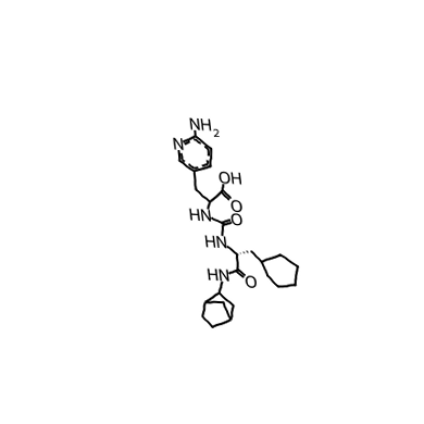 Nc1ccc(CC(NC(=O)N[C@H](CC2CCCCC2)C(=O)NC2CC3CCC2C3)C(=O)O)cn1